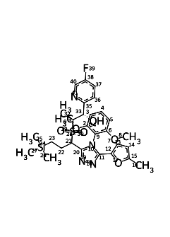 COc1cccc(OC)c1-n1c(-c2ccc(C)o2)nnc1C(CC[Si](C)(C)C)S(=O)(=O)[C@@H](C)[C@@H](O)c1ccc(F)cn1